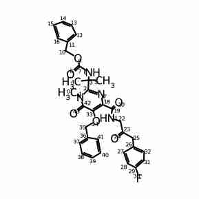 Cn1c(C(C)(C)NC(=O)OCc2ccccc2)nc(C(=O)NCC(=O)Cc2ccc(F)cc2)c(OCc2ccccc2)c1=O